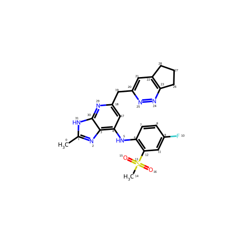 Cc1nc2c(Nc3ccc(F)cc3S(C)(=O)=O)cc(Cc3cc4c(nn3)CCC4)nc2[nH]1